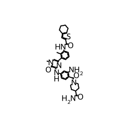 Cc1c(NC(=O)c2cc3c(s2)CCCC3)cccc1-c1cn(C)c(=O)c(Nc2ccc(C(=O)N3CCC(C(N)=O)CC3)c(N)c2)n1